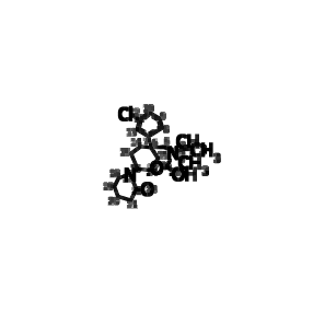 CC(C)(C)N(C[C@]1(c2cccc(Cl)c2)CC[C@H](N2CCCCC2=O)CC1)C(=O)O